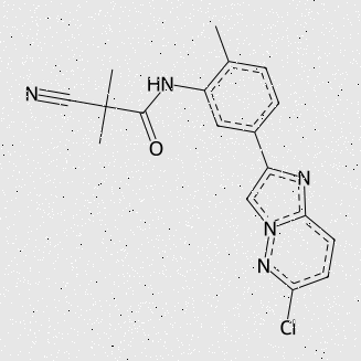 Cc1ccc(-c2cn3nc(Cl)ccc3n2)cc1NC(=O)C(C)(C)C#N